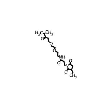 CCC1CC(=O)N(CCC(=O)NCCOCCOCCC(=O)C(C)C)C1=O